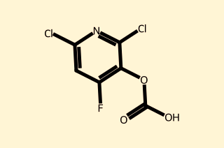 O=C(O)Oc1c(F)cc(Cl)nc1Cl